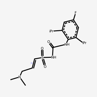 CC(C)c1cc(F)cc(C(C)C)c1NC(=O)NS(=O)(=O)/C=C/CN(C)C